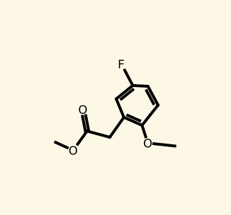 COC(=O)Cc1cc(F)ccc1OC